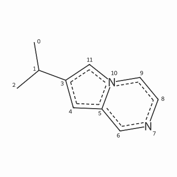 CC(C)c1cc2cnccn2c1